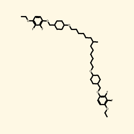 CCOc1ccc(OCC2CCC(OCCCCCCC(C)CCCCCCOC3CCC(COc4ccc(OCC)c(F)c4F)CC3)CC2)c(F)c1F